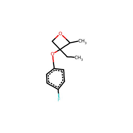 CCC1(Oc2ccc(F)cc2)COC1C